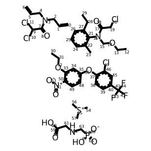 C=CCN(CC=C)C(=O)C(Cl)Cl.CCOCN(C(=O)CCl)c1c(C)cccc1CC.CCOc1cc(Oc2ccc(C(F)(F)F)cc2Cl)ccc1[N+](=O)[O-].C[S+](C)C.O=C(O)CNCP(=O)([O-])O